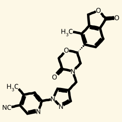 Cc1cc(-n2cc(CN3C[C@@H](c4ccc5c(c4C)COC5=O)OCC3=O)cn2)ncc1C#N